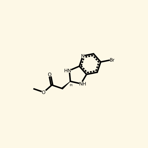 COC(=O)C[C@@H]1Nc2cc(Br)cnc2N1